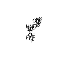 Cc1oc2c(c1CC(=O)Nc1nc(-c3cc(F)c(OC(F)F)c(F)c3)cs1)c(=O)n(C)c(=O)n2C